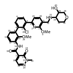 COc1nc(-c2cccc(-c3cccc(NC(=O)c4ccnn(C)c4=O)c3OC)c2Cl)ccc1CNC1CCOCC1O